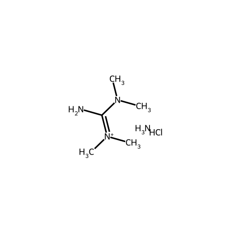 CN(C)C(N)=[N+](C)C.Cl.N